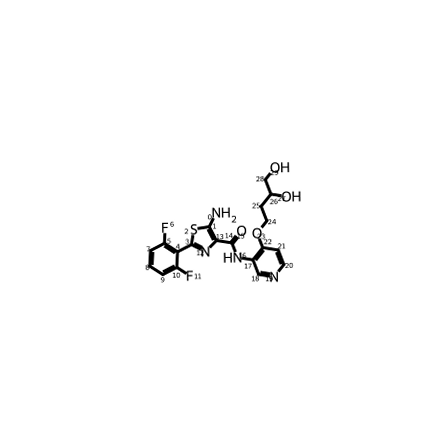 Nc1sc(-c2c(F)cccc2F)nc1C(=O)Nc1cnccc1OCCC(O)CO